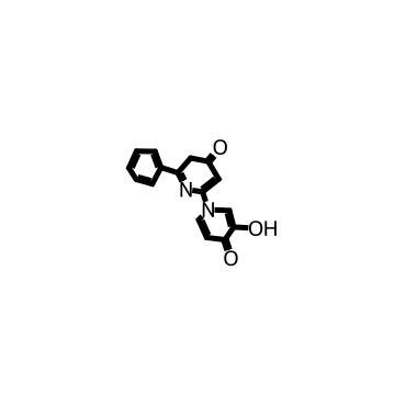 O=C1C=C(n2ccc(=O)c(O)c2)N=C(c2ccccc2)C1